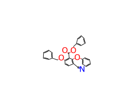 N#Cc1ccc(OCc2ccccc2)c(C(=O)OCc2ccccc2)c1Oc1ccccc1